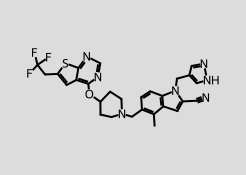 Cc1c(CN2CCC(Oc3ncnc4sc(CC(F)(F)F)cc34)CC2)ccc2c1cc(C#N)n2Cc1cn[nH]c1